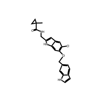 CC1(C(=O)NCc2cc3cc(Cl)c(OCc4ccc5cc[nH]c5c4)cc3[nH]2)CC1